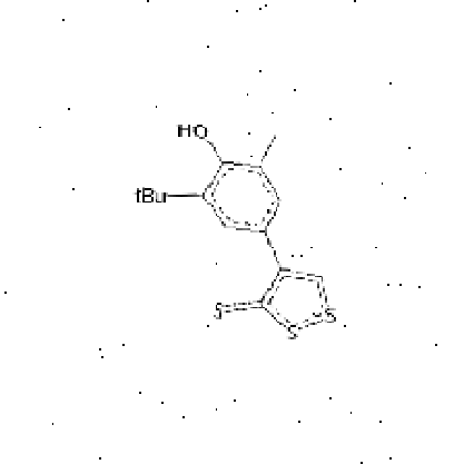 Cc1cc(-c2cssc2=S)cc(C(C)(C)C)c1O